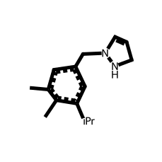 Cc1cc(CN2C=CCN2)cc(C(C)C)c1C